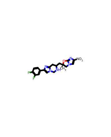 C[C@]1(CC2Cc3nc(-c4ccc(F)c(F)c4)cn3CN2)Cn2cc([N+](=O)[O-])nc2O1